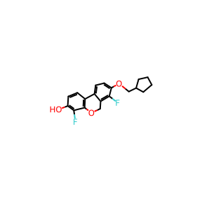 Oc1ccc2c(c1F)OCc1c-2ccc(OCC2CCCC2)c1F